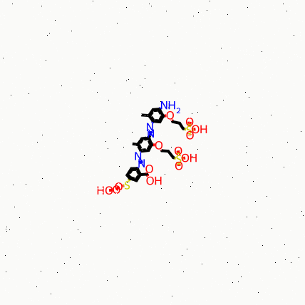 Cc1cc(N)c(OCCCS(=O)(=O)O)cc1N=Nc1cc(C)c(N=Nc2ccc(SOOO)cc2C(=O)O)cc1OCCCS(=O)(=O)O